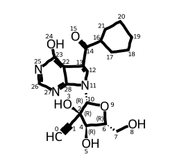 C#C[C@@]1(O)[C@H](O)[C@@H](CO)O[C@H]1n1cc(C(=O)C2CCCCC2)c2c(O)ncnc21